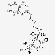 O=S(=O)(NCCCCN1CCc2ccccc2C1)c1cc(C(F)(F)F)ccc1Cl